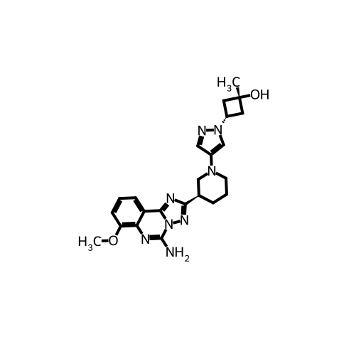 COc1cccc2c1nc(N)n1nc([C@@H]3CCCN(c4cnn([C@H]5C[C@@](C)(O)C5)c4)C3)nc21